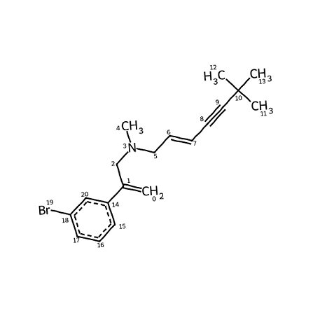 C=C(CN(C)CC=CC#CC(C)(C)C)c1cccc(Br)c1